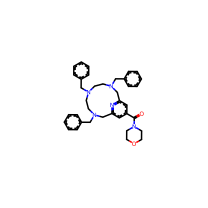 O=C(c1cc2nc(c1)CN(Cc1ccccc1)CCN(Cc1ccccc1)CCN(Cc1ccccc1)C2)N1CCOCC1